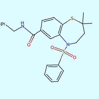 CC(C)CNC(=O)c1ccc2c(c1)N(S(=O)(=O)c1ccccc1)CCC(C)(C)S2